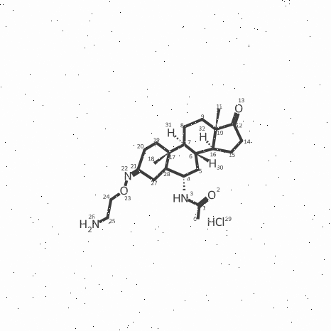 CC(=O)N[C@H]1C[C@@H]2[C@H](CC[C@]3(C)C(=O)CC[C@@H]23)[C@@]2(C)CC/C(=N/OCCN)CC12.Cl